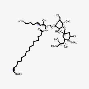 CCCCCCCC/C=C\CCCCCCCCCCCCCC(=O)N[C@@H](CO[C@@H]1OC(CO)[C@H](O)[C@H](O[C@]2(C(=O)O)CC(O)[C@@H](NC(C)=O)C([C@H](O)[C@H](O)CO)O2)C1O)[C@H](O)/C=C/CCCCCCCCCCCCC